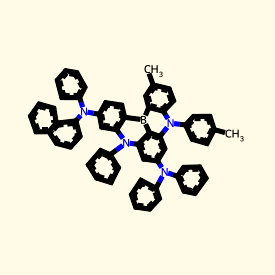 Cc1ccc(N2c3ccc(C)cc3B3c4ccc(N(c5ccccc5)c5cccc6ccccc56)cc4N(c4ccccc4)c4cc(N(c5ccccc5)c5ccccc5)cc2c43)cc1